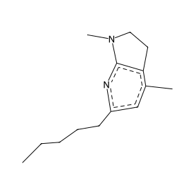 CCCCCc1cc(C)c2c(n1)N(C)CC2